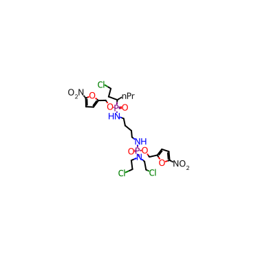 CCCC(CCCl)P(=O)(NCCCCNP(=O)(OCc1ccc([N+](=O)[O-])o1)N(CCCl)CCCl)OCc1ccc([N+](=O)[O-])o1